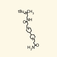 CN(CCNC(=O)CCN1CCC(C2CCN(CCC(N)=O)CC2)CC1)CC(C)(C)C